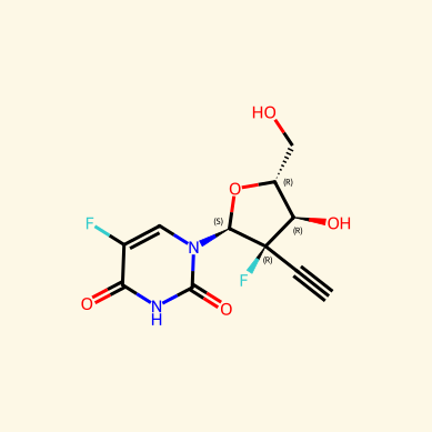 C#C[C@@]1(F)[C@H](O)[C@@H](CO)O[C@@H]1n1cc(F)c(=O)[nH]c1=O